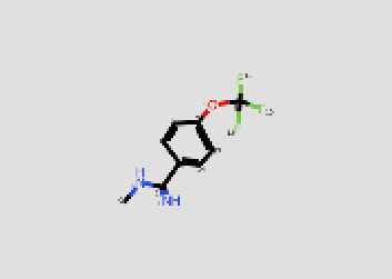 CNC(=N)c1ccc(OC(F)(F)F)cc1